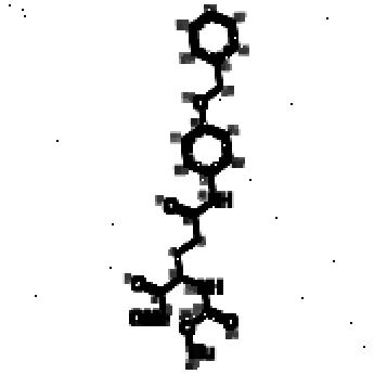 COC(=O)C(CCC(=O)Nc1ccc(OCc2ccccc2)cc1)NC(=O)OC(C)(C)C